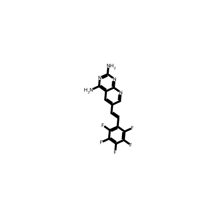 Nc1nc(N)c2cc(/C=C/c3c(F)c(F)c(F)c(F)c3F)cnc2n1